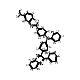 CC(C)c1ccc2oc(-c3ccc(N(c4ccccc4)c4ccc(-c5nc6ccccc6nc5-c5ccccc5)cc4)cc3)nc2c1